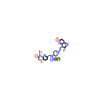 COc1ccc2ncc(F)c(CCN3CC[C@H](NCc4ccc5c(n4)NC(=O)CS5)[C@@H](O)C3)c2n1.Cl.Cl